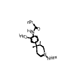 CCCCCCN1CC[C@](C)(c2ccc(NC(=O)CCC)c(O)c2)[C@@H](C)C1